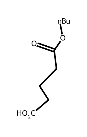 CCCCOC(=O)CCCC(=O)O